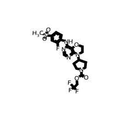 CS(=O)(=O)c1ccc(Nc2ncnc3c2OCCN3C2CCN(C(=O)OCC(F)(F)F)CC2)c(F)c1